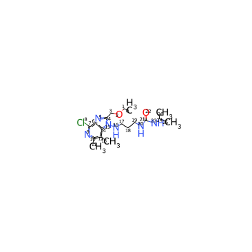 CCOCc1nc2c(Cl)nc(C)c(C)c2n1NCCCNC(=O)NC(C)C